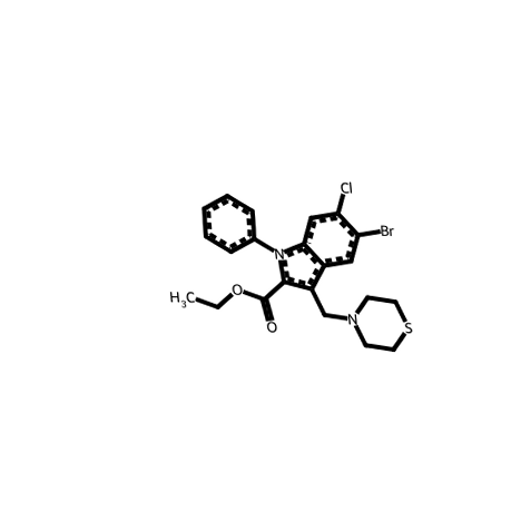 CCOC(=O)c1c(CN2CCSCC2)c2cc(Br)c(Cl)cc2n1-c1ccccc1